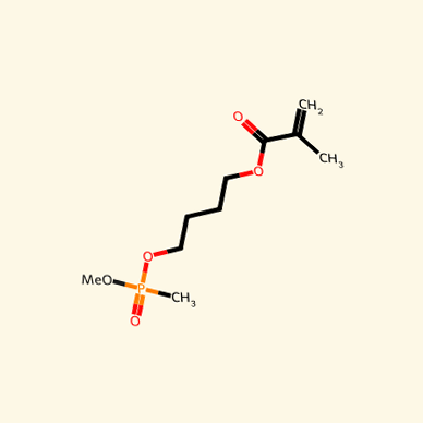 C=C(C)C(=O)OCCCCOP(C)(=O)OC